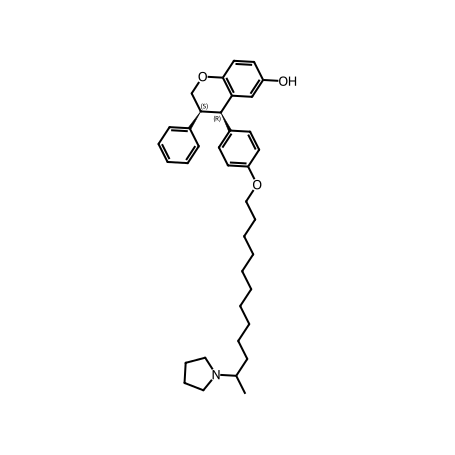 CC(CCCCCCCCCCOc1ccc([C@@H]2c3cc(O)ccc3OC[C@@H]2c2ccccc2)cc1)N1CCCC1